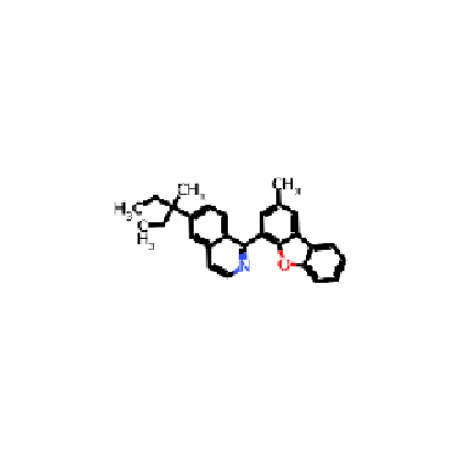 CCC(C)(CC)c1ccc2c(-c3cc(C)cc4c3oc3ccccc34)nccc2c1